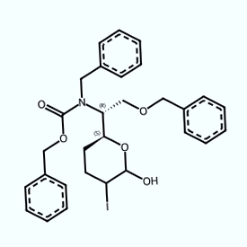 O=C(OCc1ccccc1)N(Cc1ccccc1)[C@H](COCc1ccccc1)[C@@H]1CCC(I)C(O)O1